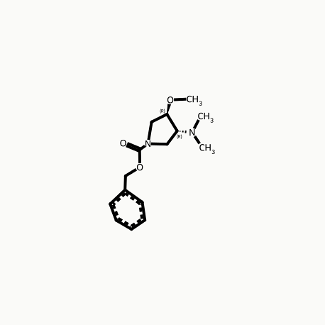 CO[C@@H]1CN(C(=O)OCc2ccccc2)C[C@H]1N(C)C